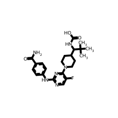 CC(C)(C)C(NC(=O)O)C1CCN(c2nc(Nc3ccc(C(N)=O)cc3)ncc2F)CC1